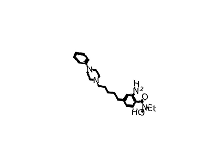 CCN(O)C(=O)c1ccc(CCCCCN2CCN(c3ccccc3)CC2)cc1N